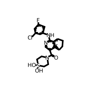 O=C(c1cnc(Nc2cc(F)cc(Cl)c2)c2c1C1CCC2CC1)N1CCS(O)(O)CC1